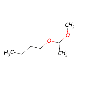 [CH2]OC(C)OCCCC